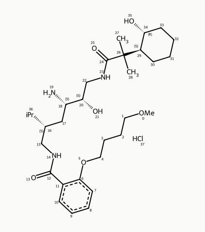 COCCCCOc1ccccc1C(=O)NC[C@@H](C[C@H](N)[C@@H](O)CNC(=O)C(C)(C)[C@@H]1CCCC[C@H]1O)C(C)C.Cl